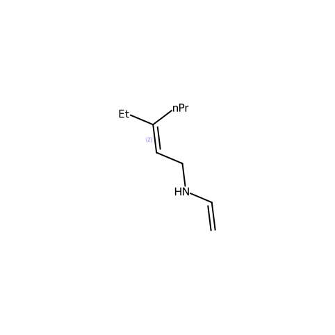 C=CNC/C=C(/CC)CCC